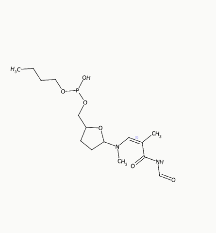 CCCCOP(O)OCC1CCC(N(C)/C=C(/C)C(=O)NC=O)O1